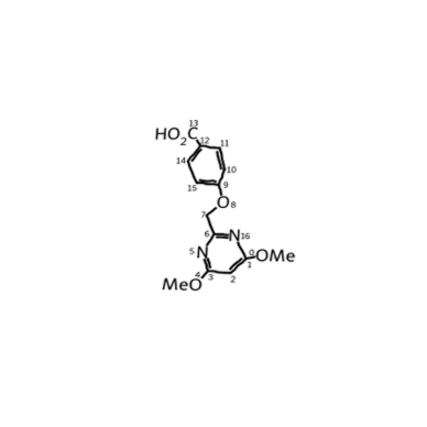 COc1cc(OC)nc(COc2ccc(C(=O)O)cc2)n1